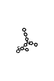 C1=CC2Sc3cc(-c4ccc(N(c5ccc(-c6ccccc6)cc5)c5ccc(-c6ccc(-c7ccccc7)cc6)cc5)cc4)c(-c4ccccc4)cc3C2C=C1